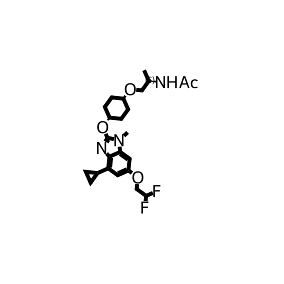 CC(=O)N[C@@H](C)CO[C@H]1CC[C@H](Oc2nc3c(C4CC4)cc(OCC(F)F)cc3n2C)CC1